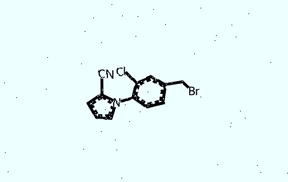 N#Cc1cccn1-c1ccc(CBr)cc1Cl